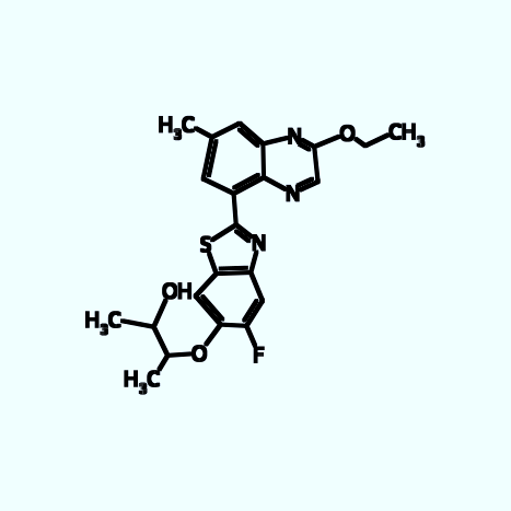 CCOc1cnc2c(-c3nc4cc(F)c(OC(C)C(C)O)cc4s3)cc(C)cc2n1